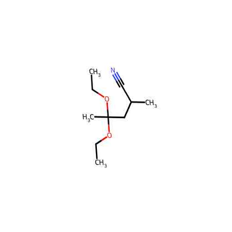 CCOC(C)(CC(C)C#N)OCC